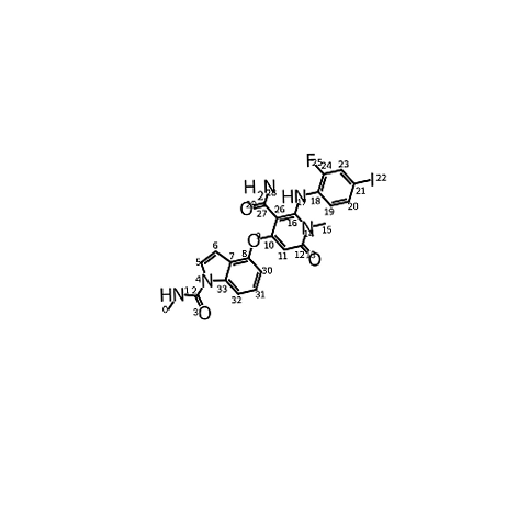 CNC(=O)n1ccc2c(Oc3cc(=O)n(C)c(Nc4ccc(I)cc4F)c3C(N)=O)cccc21